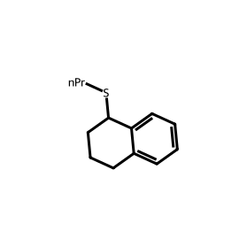 CCCSC1CCCc2ccccc21